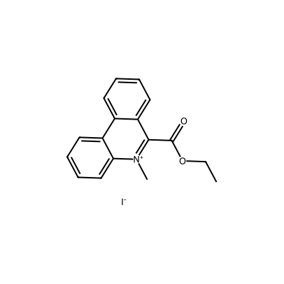 CCOC(=O)c1c2ccccc2c2ccccc2[n+]1C.[I-]